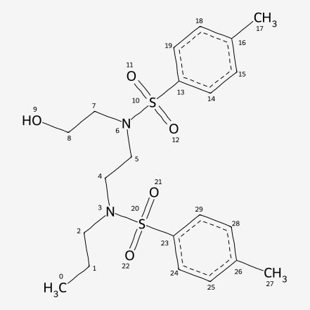 CCCN(CCN(CCO)S(=O)(=O)c1ccc(C)cc1)S(=O)(=O)c1ccc(C)cc1